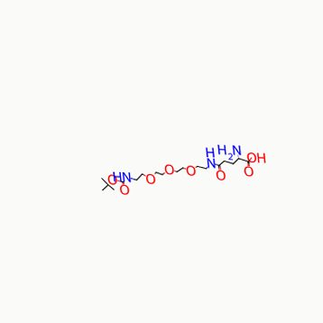 CC(C)(C)OC(=O)NCCOCCOCCOCCNC(=O)CC[C@H](N)C(=O)O